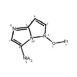 CCOn1ccc2ncc(N)n21